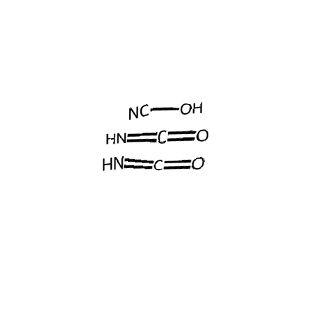 N#CO.N=C=O.N=C=O